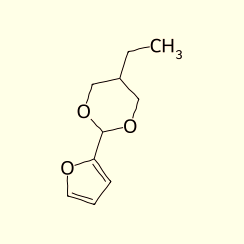 CCC1COC(c2ccco2)OC1